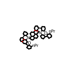 CCCc1cccc2c1oc1c(N(c3ccccc3-c3ccccc3)c3ccc4ccc5c(N(c6ccccc6-c6ccccc6)c6cccc7c6oc6c(CCC)cccc67)ccc6ccc3c4c65)cccc12